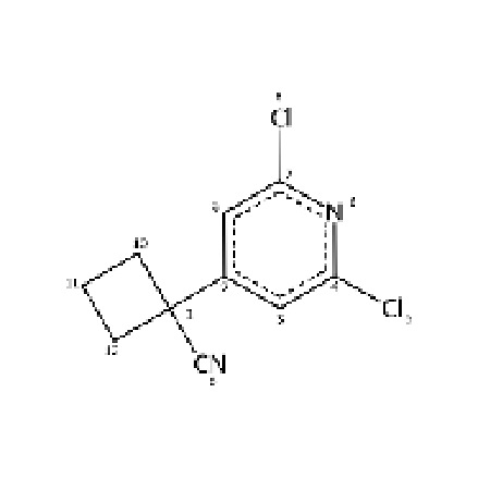 N#CC1(c2cc(Cl)nc(Cl)c2)CCC1